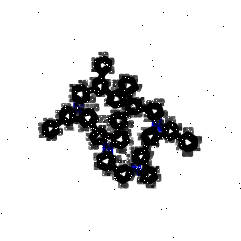 c1ccc(-c2cc(-c3ccccc3)cc(-c3cccc(-n4c5ccc(-c6ccccc6)cc5c5cc(-c6ccc7c(c6)c6ccccc6n7-c6cccc(-c7cccc(-n8c9ccccc9c9cc(-c%10ccc%11c(c%10)c%10cc(-c%12ccccc%12)ccc%10n%11-c%10cccc(-c%11cc(-c%12ccccc%12)cc(-c%12ccccc%12)c%11)c%10)ccc98)c7)c6)ccc54)c3)c2)cc1